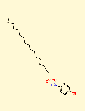 CCCCCCCCCCCCCCCCCC(=O)ONc1ccc(O)cc1